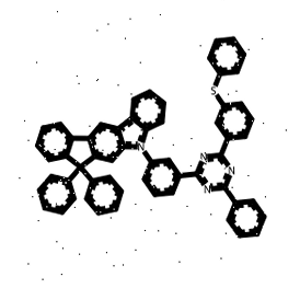 c1ccc(Sc2cccc(-c3nc(-c4ccccc4)nc(-c4cccc(-n5c6ccccc6c6cc7c(cc65)C(c5ccccc5)(c5ccccc5)c5ccccc5-7)c4)n3)c2)cc1